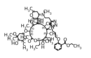 CCOC(=O)c1ccccc1OCCCn1cc(CCN(C)[C@H]2C[C@@H](C)O[C@@H](O[C@@H]3[C@@H](C)[C@H](O[C@H]4C[C@@](C)(OC)[C@@H](O)[C@H](C)O4)[C@@H](C)C(=O)O[C@H](CC)[C@@](C)(O)[C@H](O)[C@@H](C)C(=O)[C@H](C)C[C@@]3(C)O)[C@@H]2O)nn1